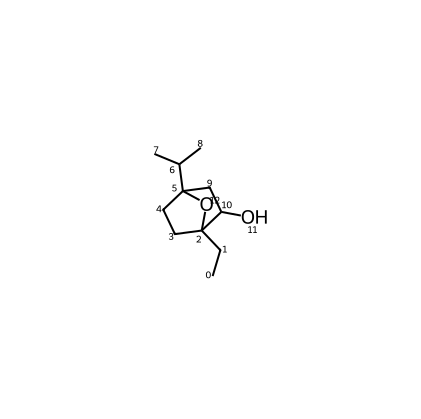 CCC12CCC(C(C)C)(CC1O)O2